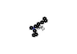 CC1(C)c2cc(-c3ccc(-c4cccc5ccccc45)cc3)ccc2-c2ccc(N(c3ccccc3)c3ccc(-c4cccc5ccccc45)cc3)cc21